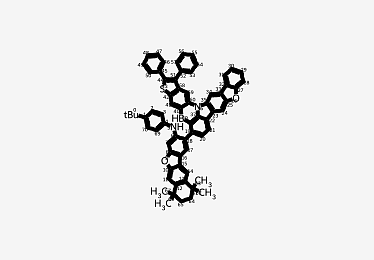 CC(C)(C)c1ccc(Nc2cc3oc4cc5c(cc4c3cc2-c2ccc3c4cc6oc7ccccc7c6cc4n4c3c2Bc2cc3sc(-c6ccccc6)c(-c6ccccc6)c3cc2-4)C(C)(C)CCC5(C)C)cc1